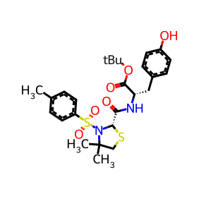 Cc1ccc(S(=O)(=O)N2[C@H](C(=O)N[C@@H](Cc3ccc(O)cc3)C(=O)OC(C)(C)C)SCC2(C)C)cc1